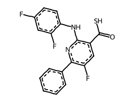 O=C(S)c1cc(F)c(-c2ccccc2)nc1Nc1ccc(F)cc1F